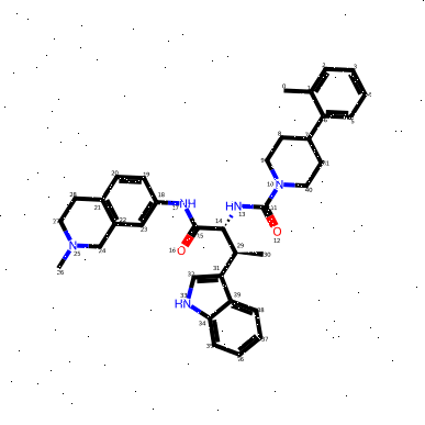 Cc1ccccc1C1CCN(C(=O)N[C@@H](C(=O)Nc2ccc3c(c2)CN(C)CC3)[C@@H](C)c2c[nH]c3ccccc23)CC1